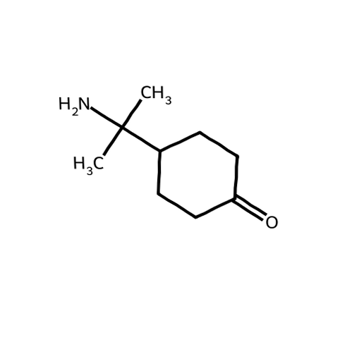 CC(C)(N)C1CCC(=O)CC1